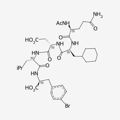 CC(=O)N[C@@H](CCC(N)=O)C(=O)N[C@@H](CC1CCCCC1)C(=O)N[C@@H](CC(=O)O)C(=O)N[C@@H](CC(C)C)C(=O)N[C@@H](Cc1ccc(Br)cc1)C(=O)O